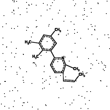 C/C=C\c1ccc(-c2cc(C)cc(C)c2C)nc1C